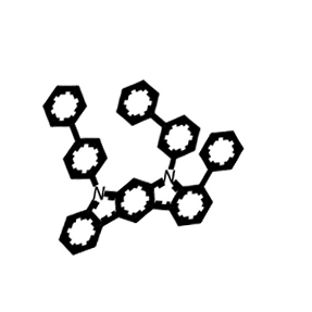 c1ccc(-c2ccc(-n3c4ccccc4c4cc5c6cccc(-c7ccccc7)c6n(-c6cccc(-c7ccccc7)c6)c5cc43)cc2)cc1